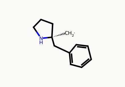 [CH2][C@@]1(Cc2ccccc2)CCCN1